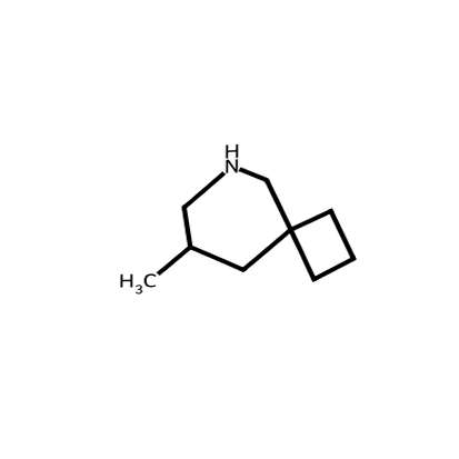 CC1CNCC2(CCC2)C1